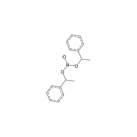 CC(OB([O])OC(C)c1ccccc1)c1ccccc1